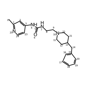 Cc1cc(NC(=O)NCCN2CCC(Cc3ccccc3)CC2)ccn1